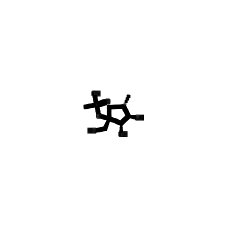 C[C@H]1C[C@@](CO)(OP(C)(=O)O)[C@@H](O)[C@@H]1O